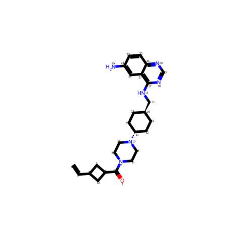 C=CC1CC(C(=O)N2CCN([C@H]3CC[C@H](CNc4ncnc5ccc(N)cc45)CC3)CC2)C1